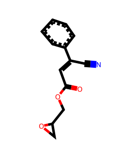 N#CC(=CC(=O)OCC1CO1)c1ccccc1